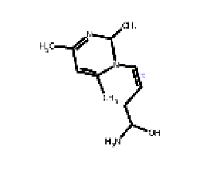 CC1=CC(C)=NC(C)N1/C=C\CC(N)O